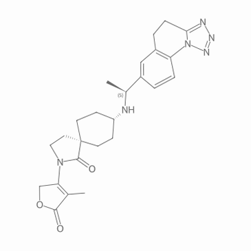 CC1=C(N2CC[C@]3(CC[C@@H](N[C@@H](C)c4ccc5c(c4)CCc4nnnn4-5)CC3)C2=O)COC1=O